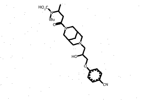 CC(CC(=O)N1CC2CC(CN(CC(O)COc3ccc(C#N)cc3)C2)C1)N(C(=O)O)C(C)(C)C